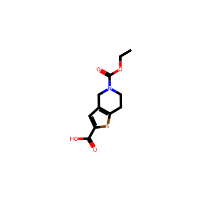 CCOC(=O)N1CCc2sc(C(=O)O)cc2C1